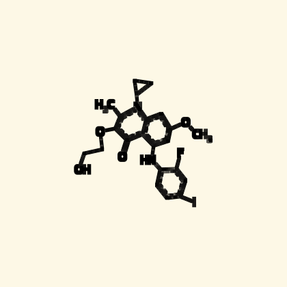 COc1cc(Nc2ccc(I)cc2F)c2c(=O)c(OCCO)c(C)n(C3CC3)c2c1